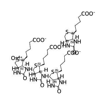 O=C([O-])CCCC[C@@H]1SC[C@@H]2NC(=O)N[C@@H]21.O=C([O-])CCCC[C@@H]1SC[C@@H]2NC(=O)N[C@@H]21.O=C([O-])CCCC[C@@H]1SC[C@@H]2NC(=O)N[C@@H]21.O=C([O-])CCCC[C@@H]1SC[C@@H]2NC(=O)N[C@@H]21.[Os+4]